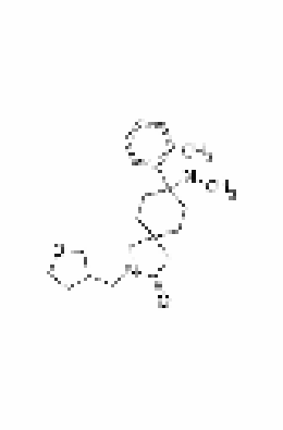 CN(C)C1(c2ccccc2)CCC2(CC1)CC(=O)N(CC1CCOC1)C2